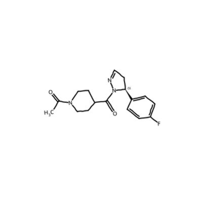 CC(=O)N1CCC(C(=O)N2N=CC[C@H]2c2ccc(F)cc2)CC1